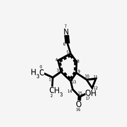 CC(C)c1cc(C#N)cc(C2CC2)c1CC(=O)O